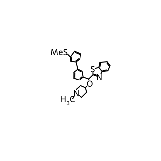 CSc1cccc(-c2cccc(C(OC3CCN(C)CC3)c3nc4ccccc4s3)c2)c1